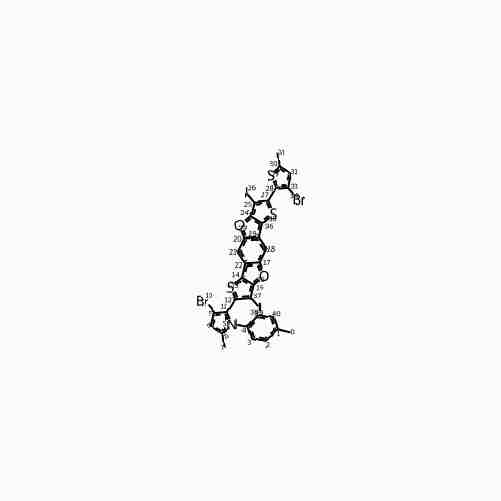 Cc1ccc(-n2c(C)cc(Br)c2-c2sc3c(oc4cc5c(cc43)oc3c(I)c(-c4sc(C)cc4Br)sc35)c2I)cc1